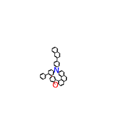 c1ccc(-c2ccc(N(c3ccc(-c4ccc5ccccc5c4)cc3)c3ccc4ccc5ccc6oc7ccccc7c6c5c4c3)cc2)cc1